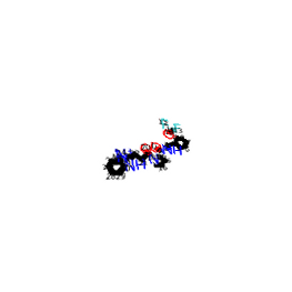 O=C(NCc1ccccc1OC(F)F)[C@@H]1CCCN1C(=O)CCC1=[N+]c2ccccc2N1